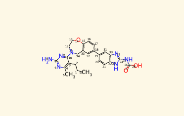 CCCc1c(C)nc(N)nc1N1CCOc2ccc(-c3ccc4[nH]c(NC(=O)O)nc4c3)cc2C1